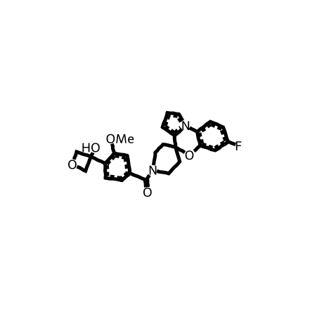 COc1cc(C(=O)N2CCC3(CC2)Oc2cc(F)ccc2-n2cccc23)ccc1C1(O)COC1